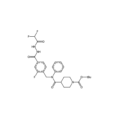 CC(C)(C)OC(=O)N1CCC(C(=O)N(Cc2ccc(C(=O)NNC(=O)C(F)F)cc2F)c2ccccc2)CC1